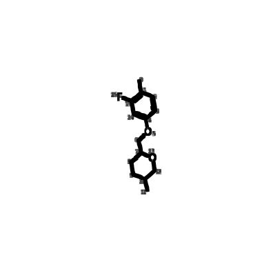 Cc1ccc(OCC2CCC(C)CO2)cc1F